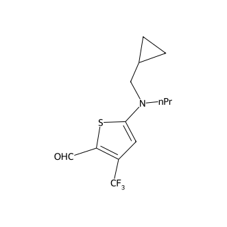 CCCN(CC1CC1)c1cc(C(F)(F)F)c(C=O)s1